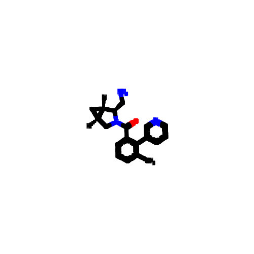 Cc1cccc(C(=O)N2C[C@H]3C[C@H]3[C@H]2CN)c1-c1cccnc1